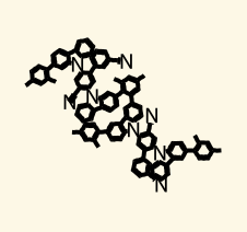 Cc1ccc(-c2ccc3c(c2)c2cc(-c4cc(C)cc(C)c4-c4ccc5c6ccccc6n(-c6cc(-c7cccc(C#N)c7)c(-n7c8ccccc8c8ccc(-c9ccc(C)cc9C)cc87)cc6C#N)c5c4)ccc2n3-c2cc(-c3cccc(C#N)c3)c(-n3c4ccccc4c4cc(-c5ccc(C)cc5C)ccc43)cc2C#N)c(C)c1